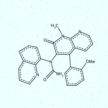 COc1ccccc1-c1c(N(C(N)=O)c2cccc3cccnc23)c(=O)n(C)c2ncccc12